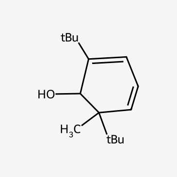 CC(C)(C)C1=CC=CC(C)(C(C)(C)C)C1O